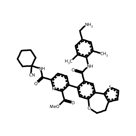 COC(=O)c1nc(C(=O)NC2(C#N)CCCCC2)ccc1-c1cc2c(cc1C(=O)Nc1c(C)cc(CN)cc1C)-c1sccc1CCO2